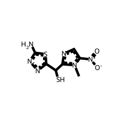 Cn1c([N+](=O)[O-])cnc1C(S)c1nnc(N)s1